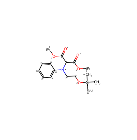 CC(C)OC(=O)C(C(=O)OC(C)C)N(CCO[Si](C)(C)C(C)(C)C)c1ccccc1